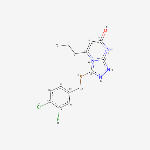 CCCc1cc(=O)[nH]c2nnc(SCc3ccc(Cl)c(F)c3)n12